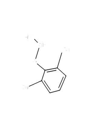 [CH3][AlH][O]c1c(C(C)(C)C)cccc1C(C)(C)C